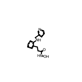 O=C(CCc1ccccc1NCc1cccnc1)NO